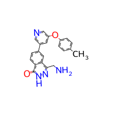 Cc1ccc(Oc2cncc(-c3ccc4c(=O)[nH]nc(CN)c4c3)c2)cc1